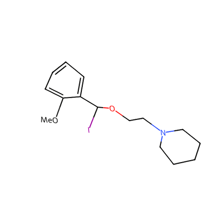 COc1ccccc1C(I)OCCN1CCCCC1